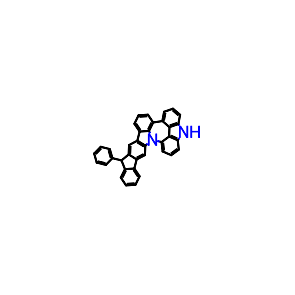 c1ccc(C2c3ccccc3-c3cc4c(cc32)c2cccc3c5cccc6[nH]c7cccc(c7c65)n4c32)cc1